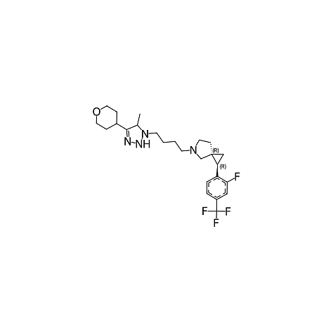 CC1C(C2CCOCC2)=NNN1CCCCN1CC[C@@]2(C[C@H]2c2ccc(C(F)(F)F)cc2F)C1